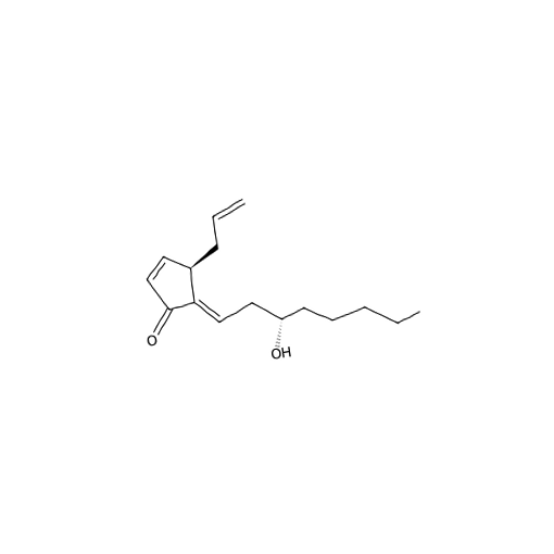 C=CC[C@@H]1C=CC(=O)/C1=C/C[C@@H](O)CCCCC